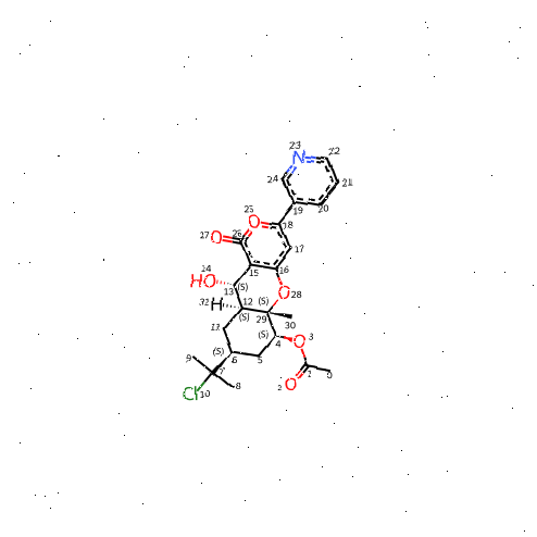 CC(=O)O[C@H]1C[C@@H](C(C)(C)Cl)C[C@H]2[C@H](O)c3c(cc(-c4cccnc4)oc3=O)O[C@]12C